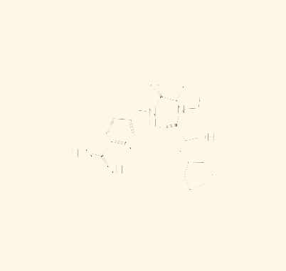 N=C(N)c1ccc(CNC(=O)C2CCCN2C(=O)C(O)CC2CCCCC2)cn1